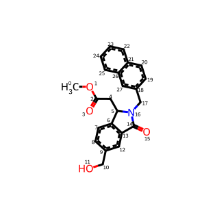 COC(=O)CC1c2ccc(CO)cc2C(=O)N1Cc1ccc2ccccc2c1